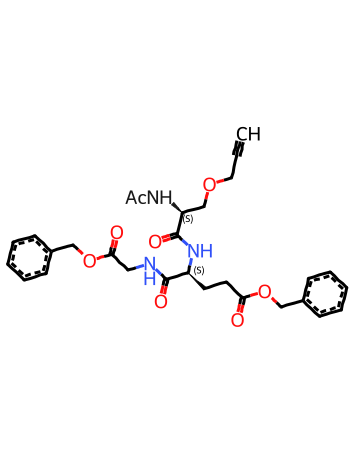 C#CCOC[C@H](NC(C)=O)C(=O)N[C@@H](CCC(=O)OCc1ccccc1)C(=O)NCC(=O)OCc1ccccc1